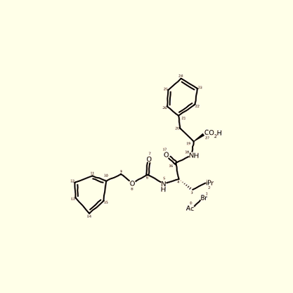 CC(=O)Br.CC(C)C[C@H](NC(=O)OCc1ccccc1)C(=O)N[C@@H](Cc1ccccc1)C(=O)O